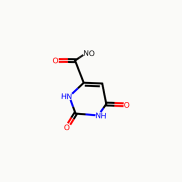 O=NC(=O)c1cc(=O)[nH]c(=O)[nH]1